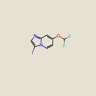 FC(F)Oc1ccn2c(I)cnc2c1